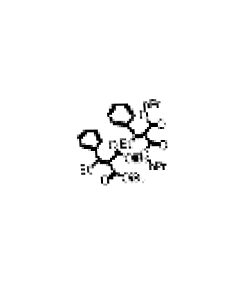 CCC(=C(C(=O)OCC(C)C)C(=O)OCC(C)C)c1ccccc1.CCCOC(=O)C(C(=O)OCCC)=C(CC)c1ccccc1